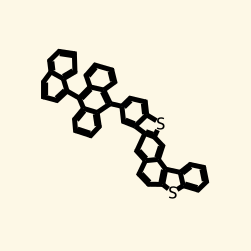 c1ccc2c(-c3c4ccccc4c(-c4ccc5sc6cc7c(ccc8sc9ccccc9c87)cc6c5c4)c4ccccc34)cccc2c1